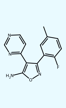 Cc1ccc(F)c(-c2noc(N)c2-c2ccncn2)c1